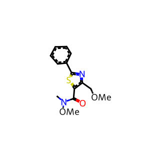 COCc1nc(-c2ccccc2)sc1C(=O)N(C)OC